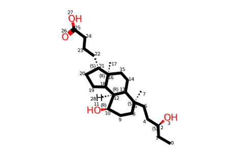 CC[C@H](O)CC[C@@]1(C)CC[C@@H](O)[C@@H]2C1CC[C@@]1(C)C2CC[C@@H]1CCCC(=O)O